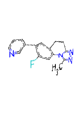 Cc1nnc2n1-c1cc(F)c(-c3cccnc3)cc1CC2